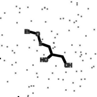 CCOSCC(O)CO